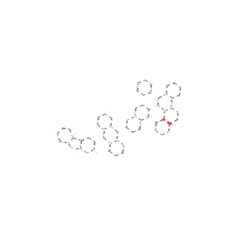 c1ccc(-c2c(-c3c(-c4ccccc4)c4ccccc4c4ccccc34)ccc3cc(-c4c5ccccc5c(-c5ccc6oc7ccccc7c6c5)c5ccccc45)ccc23)cc1